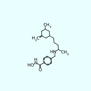 C=C1CC(C)CC(CCCC(C)NCc2ccc(C(=O)NO)cc2)C1